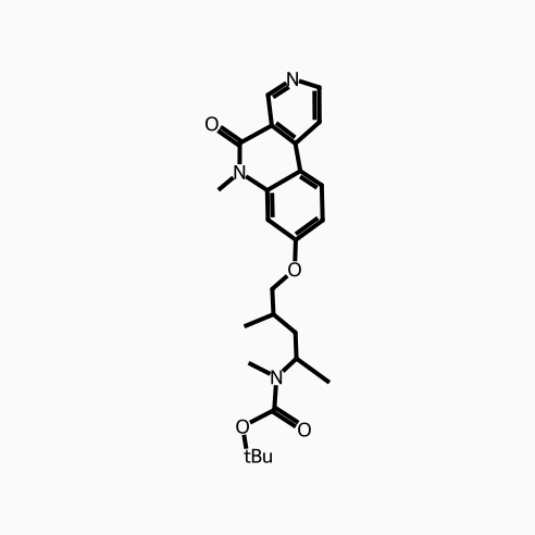 CC(COc1ccc2c3ccncc3c(=O)n(C)c2c1)CC(C)N(C)C(=O)OC(C)(C)C